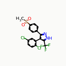 CS(=O)(=O)c1ccc(-c2n[nH]c(C(F)(F)F)c2-c2cc(Cl)ccc2Cl)cc1